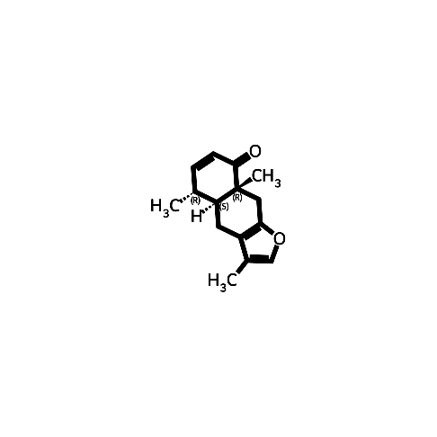 Cc1coc2c1C[C@H]1[C@H](C)C=CC(=O)[C@]1(C)C2